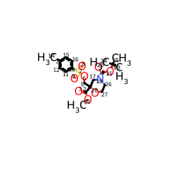 COC(=O)C1(COS(=O)(=O)c2ccc(C)cc2)CN(C(=O)OC(C)(C)C)CCO1